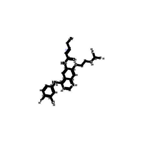 O=C(/C=C/CBr)Nc1cc2c(Nc3ccc(F)c(Cl)c3)ncnc2cc1OCCOC(F)F